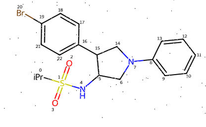 CC(C)S(=O)(=O)NC1CN(c2ccccc2)CC1c1ccc(Br)cc1